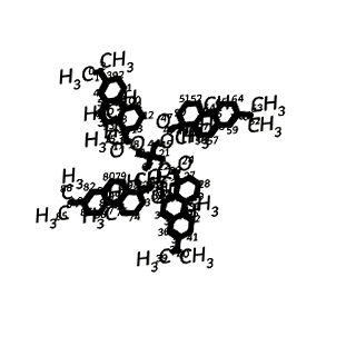 CC(C)C1=CC2=CC[C@@H]3[C@](C)(CCC[C@@]3(C)C(=O)OCC(COC(=O)[C@]3(C)CCC[C@@]4(C)[C@H]3CC=C3C=C(C(C)C)CC[C@@H]34)(COC(=O)[C@]3(C)CCC[C@@]4(C)[C@H]3CC=C3C=C(C(C)C)CC[C@@H]34)COC(=O)[C@]3(C)CCC[C@@]4(C)[C@H]3CC=C3C=C(C(C)C)CC[C@@H]34)[C@H]2CC1